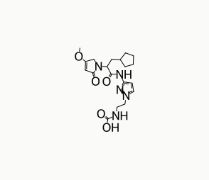 COC1=CC(=O)N(C(CC2CCCC2)C(=O)Nc2ccn(CCNC(=O)O)n2)C1